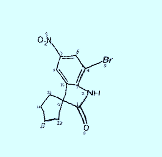 O=C1Nc2c(Br)cc([N+](=O)[O-])cc2C12CCCC2